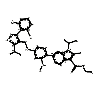 CCOC(=O)c1c(C)n(C(C)C)c2cc(-c3ccc(OCc4c(-c5c(Cl)cccc5Cl)noc4C(C)C)cc3OC)ccc12